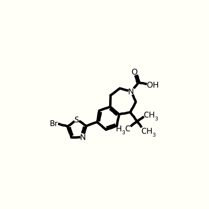 CC(C)(C)C1CN(C(=O)O)CCc2cc(-c3ncc(Br)s3)ccc21